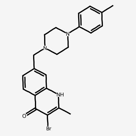 Cc1ccc(N2CCN(Cc3ccc4c(=O)c(Br)c(C)[nH]c4c3)CC2)cc1